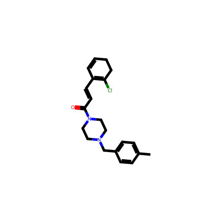 Cc1ccc(CN2CCN(C(=O)/C=C/C3=C(Cl)CCC=C3)CC2)cc1